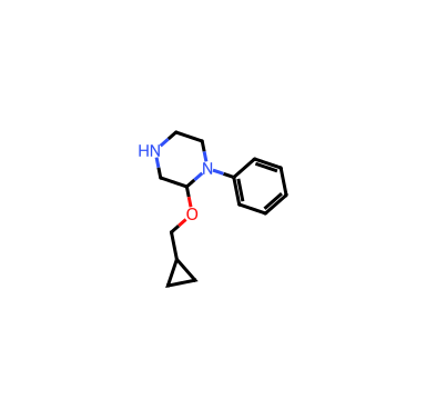 c1ccc(N2CCNCC2OCC2CC2)cc1